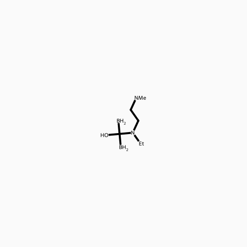 BC(B)(O)N(CC)CCNC